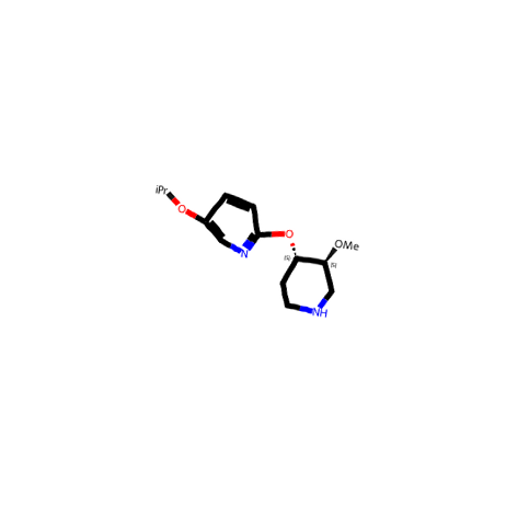 CO[C@H]1CNCC[C@@H]1Oc1ccc(OC(C)C)cn1